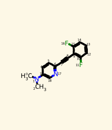 CN(C)c1ccc(C#Cc2c(F)cccc2F)nc1